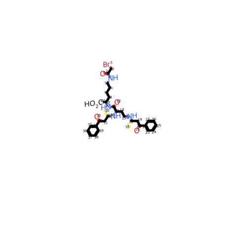 O=C(CBr)NCCCCC(NC(=O)C(CCNC(=S)CC(=O)c1ccccc1)NC(=S)CC(=O)c1ccccc1)C(=O)O